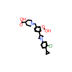 O=C(O)C1CCN(Cc2ccc(C3CN(c4ccc(C5CC5)c(Cl)c4)C3)cc2)CC1.O=CO